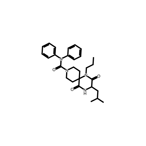 CCCN1C(=O)C(CC(C)C)NC(=O)C12CCN(C(=O)N(c1ccccc1)c1ccccc1)CC2